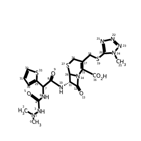 CN(C)NC(=O)NC(C(=O)N[C@H]1C(=O)N2C(C(=O)O)=C(CSc3nnnn3C)CSC12)c1cccs1